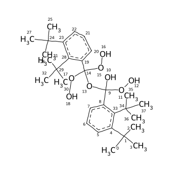 CC(C)(C)c1cccc(C(O)(OO)OC(OO)(OO)c2cccc(C(C)(C)C)c2C(C)(C)C)c1C(C)(C)C